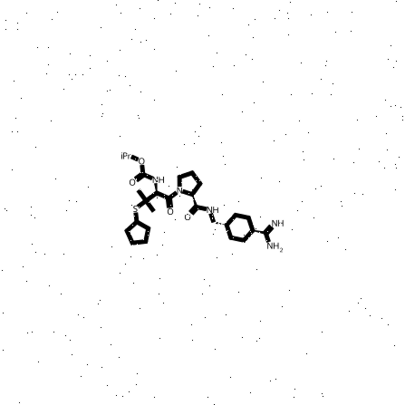 CC(C)OC(=O)N[C@@H](C(=O)N1CCC[C@H]1C(=O)NC[C@H]1CC[C@H](C(=N)N)CC1)C(C)(C)SC1CCCC1